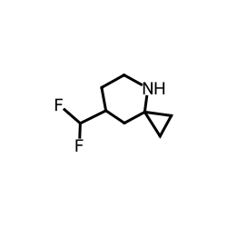 FC(F)C1CCNC2(CC2)C1